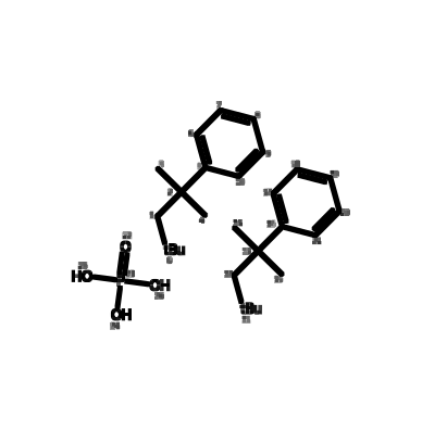 CC(C)(C)CC(C)(C)c1ccccc1.CC(C)(C)CC(C)(C)c1ccccc1.O=P(O)(O)O